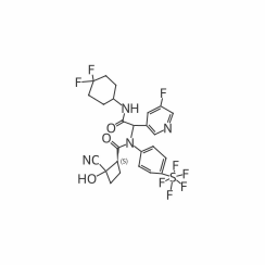 N#CC1(O)CC[C@@H]1C(=O)N(c1ccc(S(F)(F)(F)(F)F)cc1)C(C(=O)NC1CCC(F)(F)CC1)c1cncc(F)c1